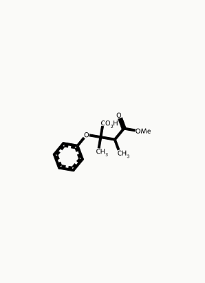 COC(=O)C(C)C(C)(Oc1ccccc1)C(=O)O